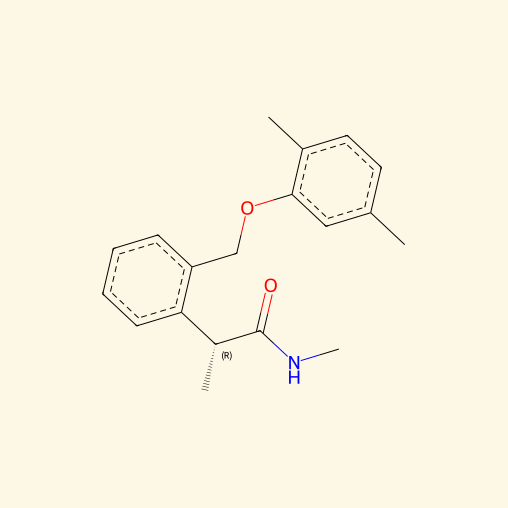 CNC(=O)[C@H](C)c1ccccc1COc1cc(C)ccc1C